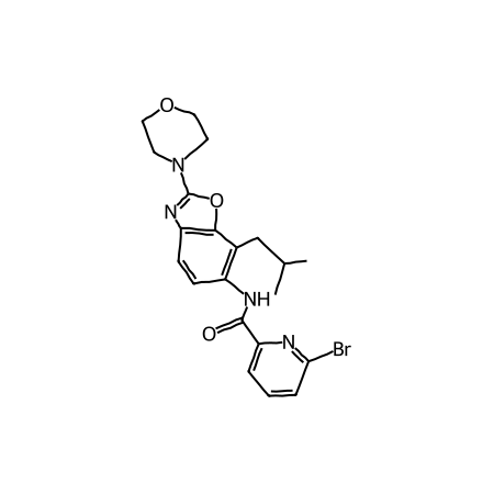 CC(C)Cc1c(NC(=O)c2cccc(Br)n2)ccc2nc(N3CCOCC3)oc12